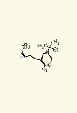 CCC(C)(C)N1COC(C)=C(CC/C=C\C(C)(C)C)C1